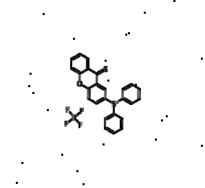 F[B-](F)(F)F.S=c1c2ccccc2oc2ccc([S+](c3ccccc3)c3ccccc3)cc12